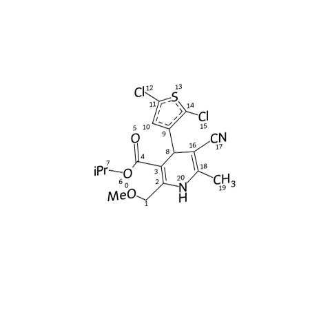 COCC1=C(C(=O)OC(C)C)C(c2cc(Cl)sc2Cl)C(C#N)=C(C)N1